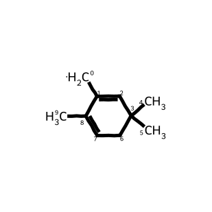 [CH2]C1=CC(C)(C)CC=C1C